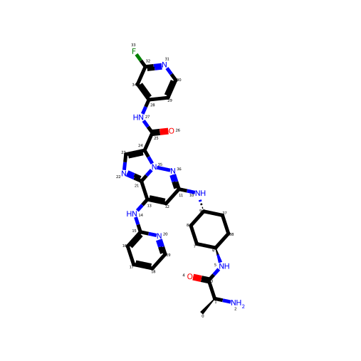 C[C@H](N)C(=O)N[C@H]1CC[C@H](Nc2cc(Nc3ccccn3)c3ncc(C(=O)Nc4ccnc(F)c4)n3n2)CC1